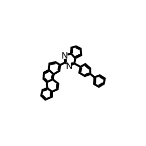 c1ccc(-c2ccc(-c3nc(-c4ccc5ccc6c7ccccc7ccc6c5c4)nc4ccccc34)cc2)cc1